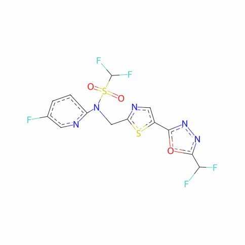 O=S(=O)(C(F)F)N(Cc1ncc(-c2nnc(C(F)F)o2)s1)c1ccc(F)cn1